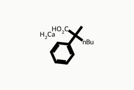 CCCCC(C)(C(=O)O)c1ccccc1.[CaH2]